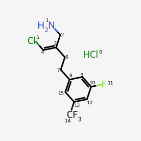 Cl.NCC(=CCl)CCc1cc(F)cc(C(F)(F)F)c1